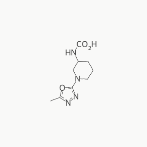 Cc1nnc(N2CCCC(NC(=O)O)C2)o1